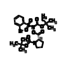 CC(C)(C)OC(=O)N1CCC[C@H]1C(=O)ON(C(=O)OC(C)(C)C)S(=O)(=O)c1ccccc1Br